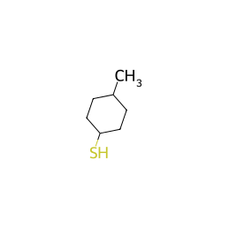 CC1CCC(S)CC1